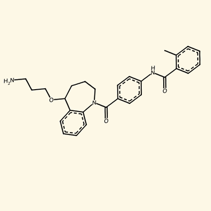 Cc1ccccc1C(=O)Nc1ccc(C(=O)N2CCCC(OCCCN)c3ccccc32)cc1